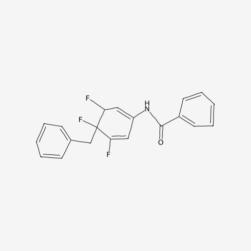 O=C(NC1=CC(F)C(F)(Cc2ccccc2)C(F)=C1)c1ccccc1